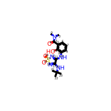 CN(C)C(=O)c1cccc(NC2=NS(=O)(=O)N=C2NC(C)(C)C)c1O